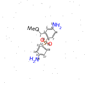 COCc1cc(N)ccc1S(=O)(=O)c1ccc(N)cc1